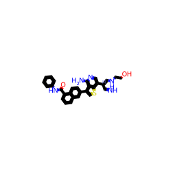 N=C/C(=C\NCCO)c1cnc(N)c2c(-c3ccc4c(C(=O)Nc5ccccc5)cccc4c3)csc12